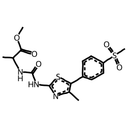 COC(=O)C(C)NC(=O)Nc1nc(C)c(-c2ccc(S(C)(=O)=O)cc2)s1